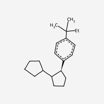 CCC(C)(C)c1ccc([C@H]2CCCC2C2CCCC2)cc1